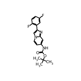 CC(C)(C)OC(=O)Nc1ccn2cc(-c3cc(F)ccc3F)nc2c1